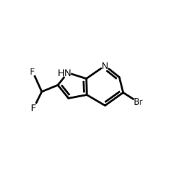 FC(F)c1cc2cc(Br)cnc2[nH]1